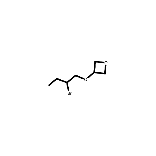 CCC(Br)COC1COC1